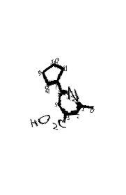 Cc1cc(C(=O)O)cc(C2CCCC2)n1